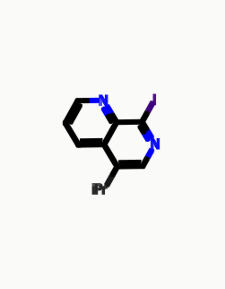 CC(C)c1cnc(I)c2ncccc12